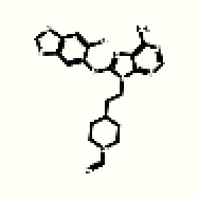 Nc1ncnc2c1nc(Sc1cc3c(cc1Br)OCO3)n2CCC1CCN(C=O)CC1